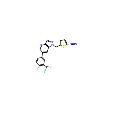 N#Cc1ccc(Cn2ncc3ncc(-c4ccc(F)c(C(F)F)c4)cc32)s1